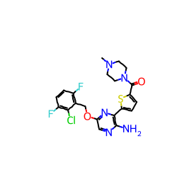 CN1CCN(C(=O)c2ccc(-c3nc(OCc4c(F)ccc(F)c4Cl)cnc3N)s2)CC1